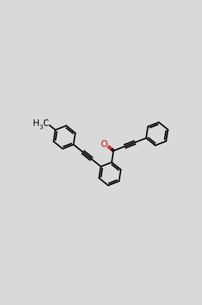 Cc1ccc(C#Cc2ccccc2C(=O)C#Cc2ccccc2)cc1